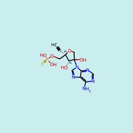 C#C[C@]1(COP(O)(O)=S)OCC(O)(n2cnc3c(N)ncnc32)[C@@H]1O